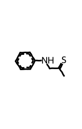 CC(=S)CNc1ccccc1